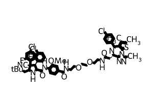 COc1cc(C(=O)NCCOCCOCCNC(=O)C[C@@H]2N=C(c3ccc(Cl)cc3)c3c(sc(C)c3C)-n3c(C)nnc32)ccc1NC(=O)C1NC(CC(C)(C)C)[C@](C#N)(c2ccc(Cl)cc2F)[C@H]1c1cccc(Cl)c1F